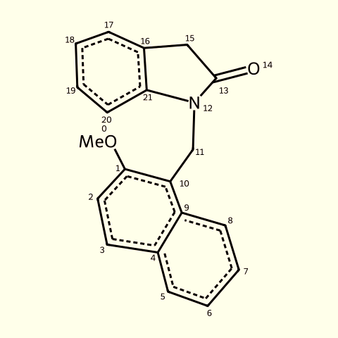 COc1ccc2ccccc2c1CN1C(=O)Cc2ccccc21